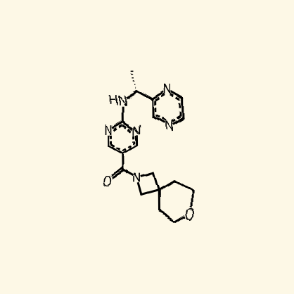 C[C@@H](Nc1ncc(C(=O)N2CC3(CCOCC3)C2)cn1)c1cnccn1